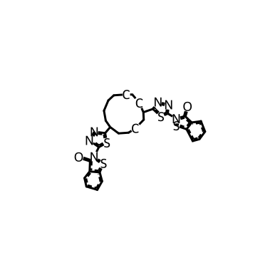 O=c1c2ccccc2sn1-c1nnc(C2CCCCCCCC(c3nnc(-n4sc5ccccc5c4=O)s3)CCCC2)s1